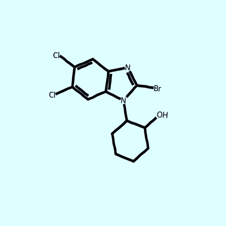 OC1CCCCC1n1c(Br)nc2cc(Cl)c(Cl)cc21